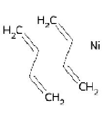 C=CC=C.C=CC=C.[Ni]